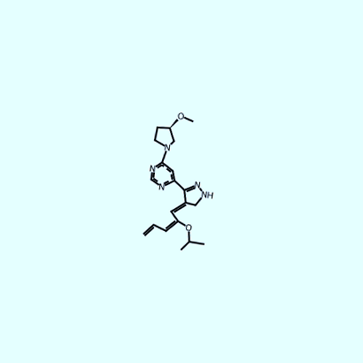 C=C/C=C(\C=C1/CNN=C1c1cc(N2CC[C@@H](OC)C2)ncn1)OC(C)C